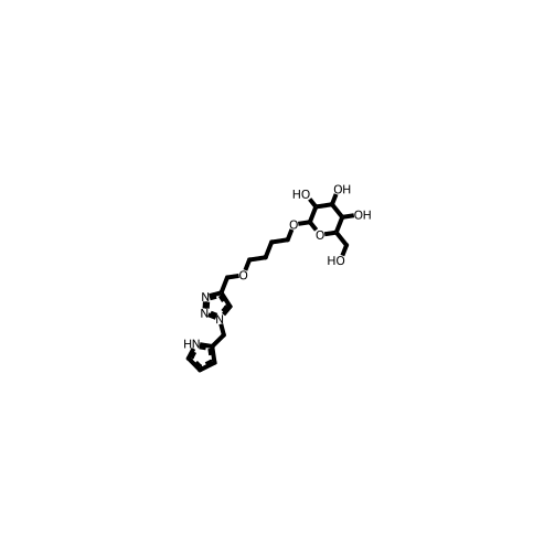 OCC1OC(OCCCCOCc2cn(Cc3ccc[nH]3)nn2)C(O)C(O)C1O